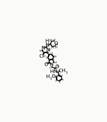 Cc1ccccc1C(C)NC(=O)CN1Cc2ccc(-c3nc(NC4CCOCC4)ncc3Cl)cc2C1=O